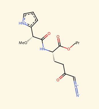 CO[C@@H](C(=O)N[C@@H](CCC(=O)C=[N+]=[N-])C(=O)OC(C)C)c1ccc[nH]1